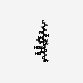 CC(C)OC[C@@H]1O[C@@H](n2cnc3c(NC(=O)/C=C/CF)ncnc32)[C@H](O)[C@@H]1O